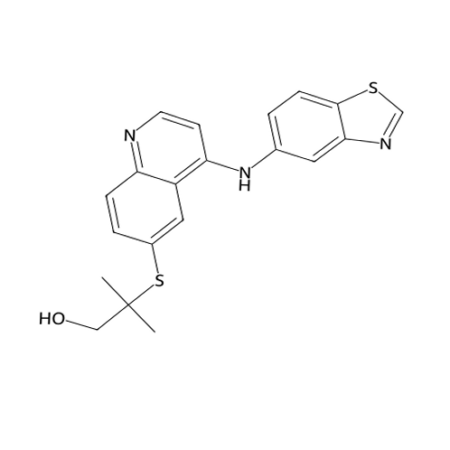 CC(C)(CO)Sc1ccc2nccc(Nc3ccc4scnc4c3)c2c1